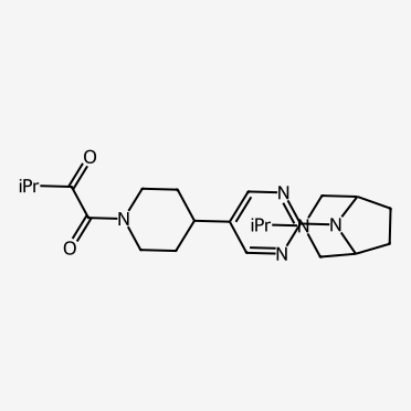 CC(C)C(=O)C(=O)N1CCC(c2cnc(N3C4CCC3CN(C(C)C)C4)nc2)CC1